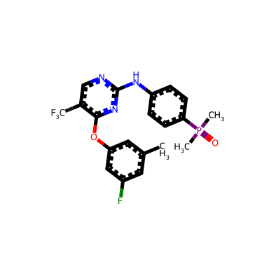 Cc1cc(F)cc(Oc2nc(Nc3ccc(P(C)(C)=O)cc3)ncc2C(F)(F)F)c1